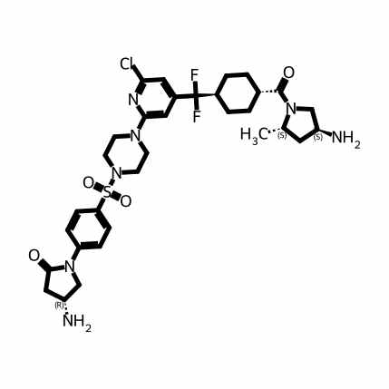 C[C@H]1C[C@H](N)CN1C(=O)[C@H]1CC[C@H](C(F)(F)c2cc(Cl)nc(N3CCN(S(=O)(=O)c4ccc(N5C[C@H](N)CC5=O)cc4)CC3)c2)CC1